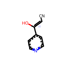 N#C/C=C(\O)c1ccncc1